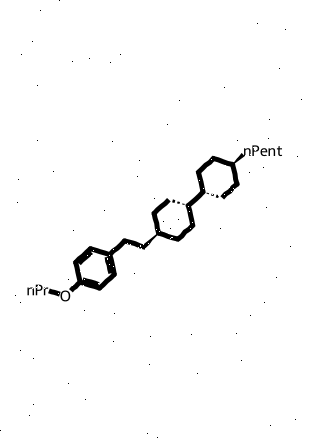 CCCCC[C@H]1CC[C@H]([C@H]2CC[C@H](CCc3ccc(OCCC)cc3)CC2)CC1